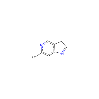 CC(C)c1cc2c(cn1)CC=N2